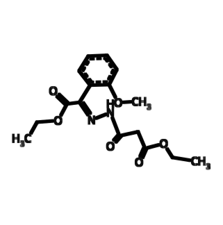 CCOC(=O)CC(=O)N/N=C(/C(=O)OCC)c1ccccc1OC